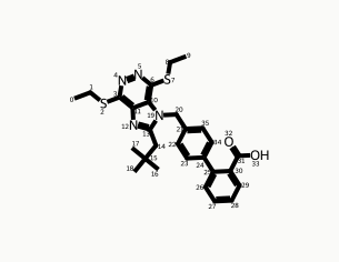 CCSc1nnc(SCC)c2c1nc(CC(C)(C)C)n2Cc1ccc(-c2ccccc2C(=O)O)cc1